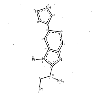 CCn1c([C@H](N)CC(C)C)nc2ccc(-c3cn[nH]c3)cc21